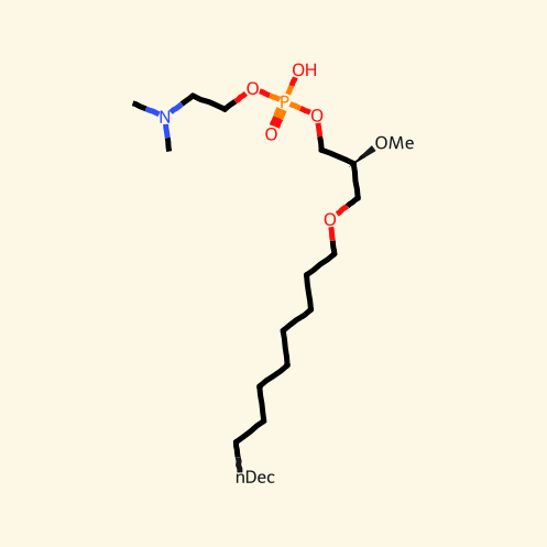 CCCCCCCCCCCCCCCCCCOC[C@@H](COP(=O)(O)OCCN(C)C)OC